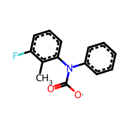 Cc1c(F)cccc1N(C([O])=O)c1ccccc1